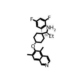 CC[C@H](N)[C@]1(c2cc(F)cc(F)c2)CC[C@H](Oc2c(C)cc3cnccc3c2C)CC1